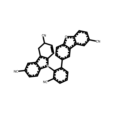 N#Cc1ccc2c(c1)c1c(n2-c2c(C#N)cccc2-c2ccc3oc4ccc(C#N)cc4c3c2)C=CC(C#N)C1